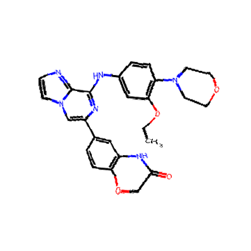 CCOc1cc(Nc2nc(-c3ccc4c(c3)NC(=O)CO4)cn3ccnc23)ccc1N1CCOCC1